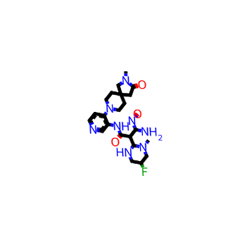 CN1CC2(CCN(c3ccncc3NC(=O)C(C(N)N=O)C3NCC(F)CN3C)CC2)CC1=O